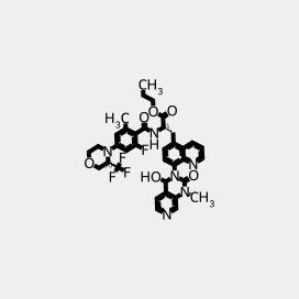 CCCOC(=O)[C@H](Cc1ccc(N2C(=O)N(C)c3cnccc3C2O)c2ncccc12)NC(=O)c1c(C)cc(N2CCOC[C@@H]2C(F)(F)F)cc1F